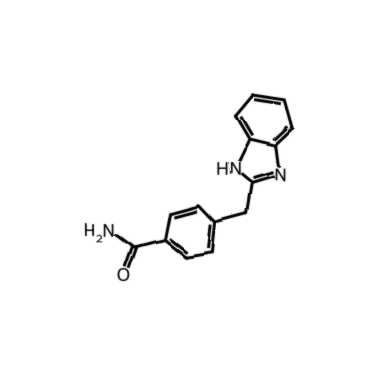 NC(=O)c1ccc(Cc2nc3ccccc3[nH]2)cc1